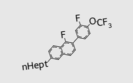 CCCCCCCc1ccc2c(F)c(-c3ccc(OC(F)(F)F)c(F)c3)ccc2c1